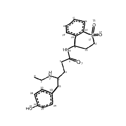 CCNC(CCC(=O)NC1CCS(=O)(=O)c2ccccc21)Cc1ccc(O)cc1